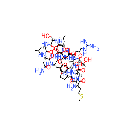 CSCC[C@H](N)C(=O)N[C@@H](C)C(=O)N[C@@H](CO)C(=O)N1CCC[C@H]1C(=O)N[C@@H](CC(C)C)C(=O)N[C@H](C(=O)N[C@@H](CCCNC(=N)N)C(=O)N[C@@H](Cc1ccccc1)C(=O)N[C@@H](CC(C)C)C(=O)N[C@@H](CO)C(=O)N[C@@H](CC(C)C)C(=O)N[C@@H](CC(N)=O)C(=O)N[C@@H](CC(C)C)C(=O)N[C@@H](CC(C)C)C(=O)N[C@@H](CC(C)C)C(=O)O)[C@@H](C)O